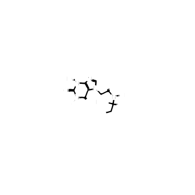 CCC(C)(C)N(C)C(=O)Cn1cnc2c1c(=O)n(C)c(=O)n2C